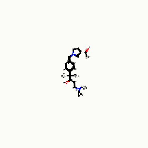 CC(C)C(=O)[C@H]1CCN(Cc2ccc(C(C)(C)C(=O)CCN(C)C)cc2)C1